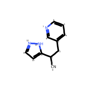 N#CC(Cc1cccnc1)c1ccn[nH]1